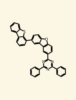 c1ccc(-c2nc(-c3ccccc3)nc(-c3ccc4oc5ccc(-c6cccc7c6sc6ccccc67)cc5c4c3)n2)cc1